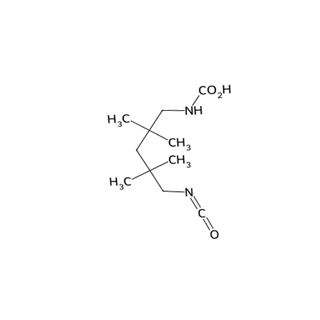 CC(C)(CN=C=O)CC(C)(C)CNC(=O)O